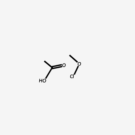 CC(=O)O.COCl